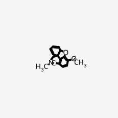 COc1ccc2c3c1OC1C=CC=CC31CCN(C)C2